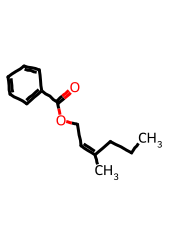 CCCC(C)=CCOC(=O)c1ccccc1